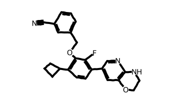 N#Cc1cccc(COc2c(C3CCC3)ccc(-c3cnc4c(c3)OCCN4)c2F)c1